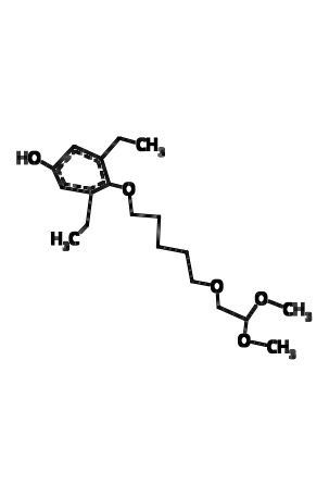 CCc1cc(O)cc(CC)c1OCCCCCOCC(OC)OC